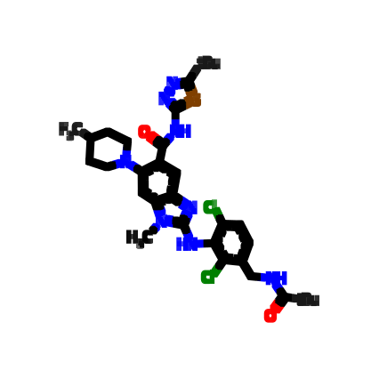 Cn1c(Nc2c(Cl)ccc(CNC(=O)C(C)(C)C)c2Cl)nc2cc(C(=O)Nc3nnc(C(C)(C)C)s3)c(N3CCC(C(F)(F)F)CC3)cc21